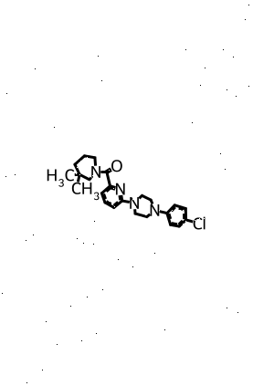 CC1(C)CCCN(C(=O)c2cccc(N3CCN(c4ccc(Cl)cc4)CC3)n2)C1